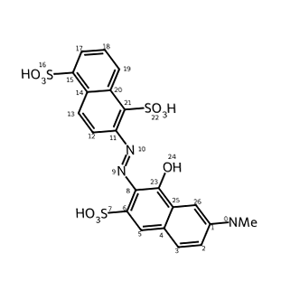 CNc1ccc2cc(S(=O)(=O)O)c(N=Nc3ccc4c(S(=O)(=O)O)cccc4c3S(=O)(=O)O)c(O)c2c1